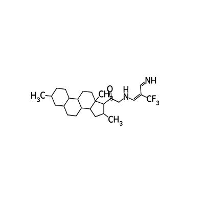 CC1CCC2C(CCC3C2CCC2(C)C3CC(C)C2C(=O)CN/C=C(\C=N)C(F)(F)F)C1